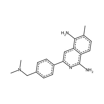 Cc1ccc2c(N)nc(-c3ccc(CN(C)C)cc3)cc2c1N